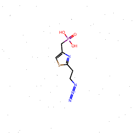 [N-]=[N+]=NCCc1nc(CP(=O)(O)O)cs1